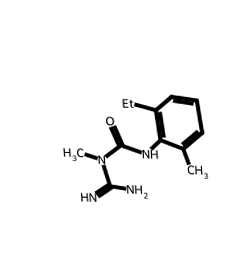 CCc1cccc(C)c1NC(=O)N(C)C(=N)N